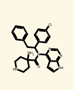 NC1(C(=O)N(c2ncnc3[nH]ccc23)C(Cc2ccccc2)c2ccc(Cl)cc2)CCNCC1